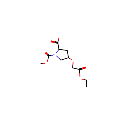 CCOC(=O)COC1CC(C(=O)O)N(C(=O)OC)C1